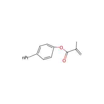 C=C(C)C(=O)Oc1ccc(CCC)cc1